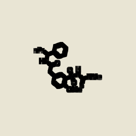 CCCC(NC(=O)Cc1ccc(OC)c(S(=O)(=O)NC(=S)NC)c1)c1ccccc1